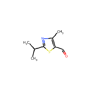 Cc1nc(C(C)C)sc1C=O